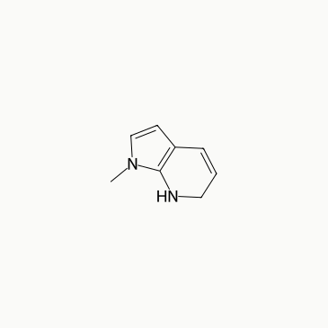 Cn1ccc2c1NCC=C2